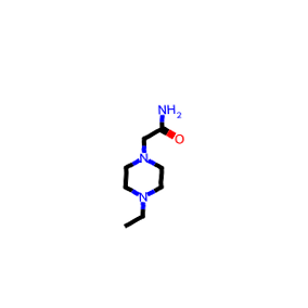 CCN1CCN(CC(N)=O)CC1